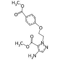 COC(=O)c1ccc(OCCn2ncc(N)c2C(=O)OC)cc1